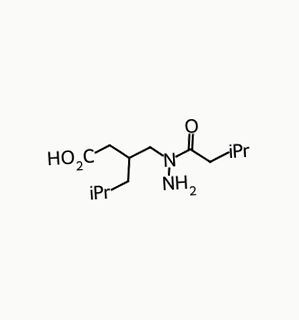 CC(C)CC(=O)N(N)CC(CC(=O)O)CC(C)C